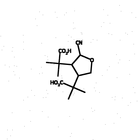 CC(C)(C(=O)O)C1COC(C#N)C1C(C)(C)C(=O)O